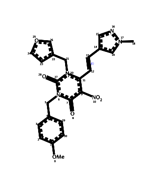 COc1ccc(Cn2c(=O)c([N+](=O)[O-])c(/C=C/c3cnn(C)c3)n(Cc3ccoc3)c2=O)cc1